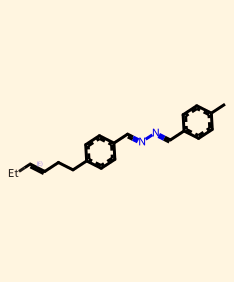 CC/C=C/CCc1ccc(C=NN=Cc2ccc(C)cc2)cc1